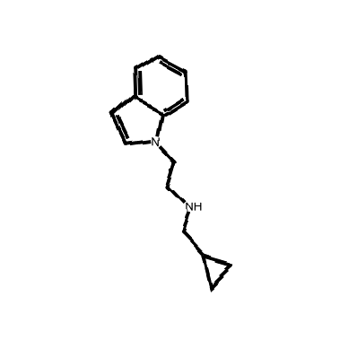 c1ccc2c(c1)ccn2CCNCC1CC1